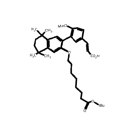 COc1ccc(C=CC(=O)O)cc1-c1cc2c(cc1OCCCCCCCC(=O)OC(C)(C)C)C(C)(C)CCC2(C)C